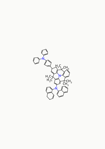 CC1(C)C2=CC(c3ccc(N(c4ccccc4)c4ccccc4)cc3)CC3=C2N2c4c1cc(N(c1cccc5c1C=CCC5)c1cccc5ccccc15)cc4C(C)(C)c1cccc(c12)C3(C)C